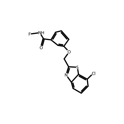 O=C(NF)c1cccc(OCc2nc3cccc(Cl)c3s2)c1